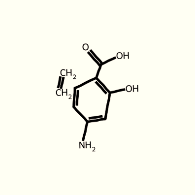 C=C.Nc1ccc(C(=O)O)c(O)c1